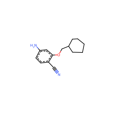 N#Cc1ccc(N)cc1OCC1CCCCC1